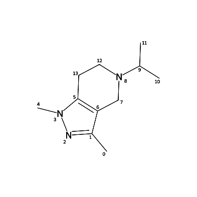 Cc1nn(C)c2c1CN(C(C)C)CC2